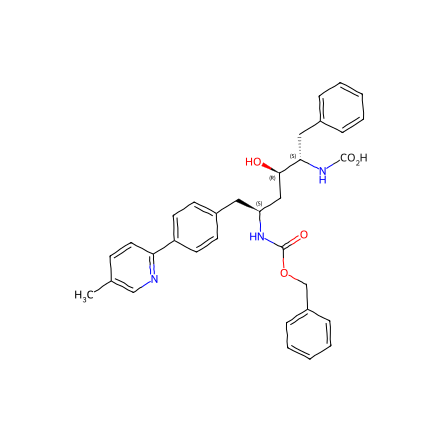 Cc1ccc(-c2ccc(C[C@@H](C[C@@H](O)[C@H](Cc3ccccc3)NC(=O)O)NC(=O)OCc3ccccc3)cc2)nc1